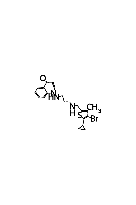 Cc1c(CNCCCNn2ccc(=O)c3ccccc32)sc(C2CC2)c1Br